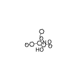 COC(=O)c1cc(O)c2cc(-c3ccc(OC)cc3)cc(OCc3ccccc3)c2n1